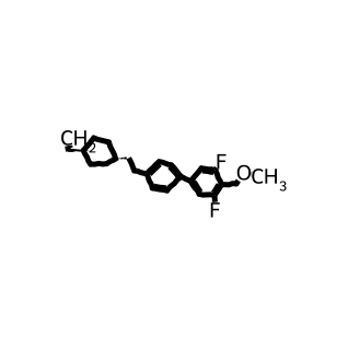 C=C[C@H]1CC[C@H](CCc2ccc(-c3cc(F)c(COC)c(F)c3)cc2)CC1